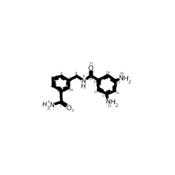 NC(=O)c1cccc(CNC(=O)c2cc(N)cc(N)c2)c1